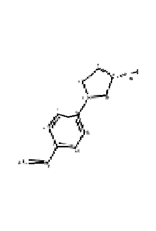 O=Cc1ccc(N2CC[C@H](O)C2)cc1